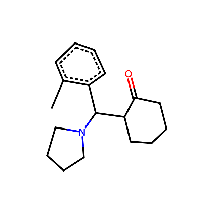 Cc1ccccc1C(C1CCCCC1=O)N1CCCC1